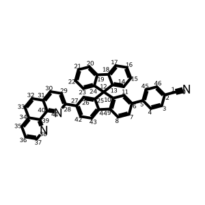 N#Cc1ccc(-c2ccc3c(c2)C2(c4ccccc4-c4ccccc42)c2cc(-c4ccc5ccc6cccnc6c5n4)ccc2-3)cc1